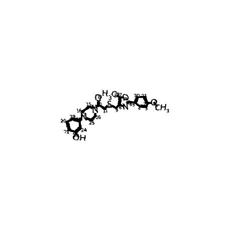 COc1ccc(-c2nc(CSCC(=O)N3CCN(c4cccc(O)c4)CC3)c(C)o2)cc1